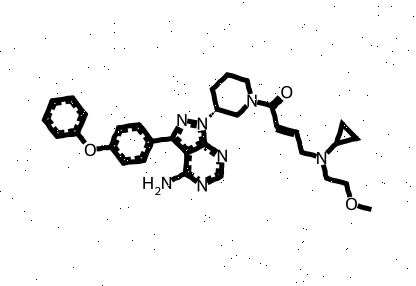 COCCN(CC=CC(=O)N1CCC[C@@H](n2nc(-c3ccc(Oc4ccccc4)cc3)c3c(N)ncnc32)C1)C1CC1